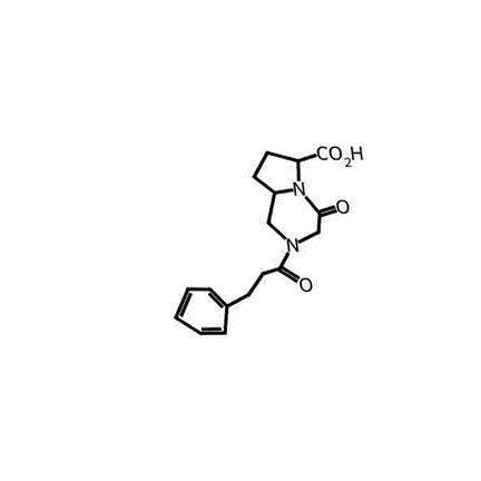 O=C(O)C1CCC2CN(C(=O)CCc3ccccc3)CC(=O)N21